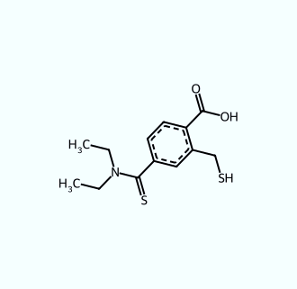 CCN(CC)C(=S)c1ccc(C(=O)O)c(CS)c1